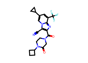 N#Cc1c(C(=O)N2CCN(C3CCC3)C(=O)C2)nc2c(C(F)(F)F)cc(C3CC3)cn12